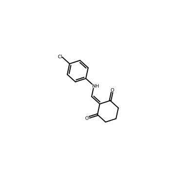 O=C1CCCC(=O)C1=CNc1ccc(Cl)cc1